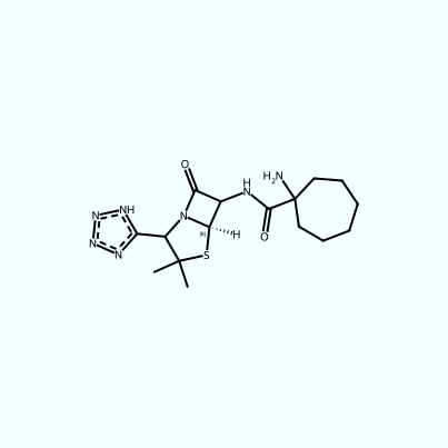 CC1(C)S[C@@H]2C(NC(=O)C3(N)CCCCCC3)C(=O)N2C1c1nnn[nH]1